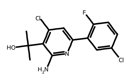 CC(C)(O)c1c(Cl)cc(-c2cc(Cl)ccc2F)nc1N